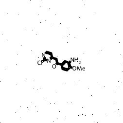 COc1ccc(C(=O)Cc2ccnc(Cl)n2)cc1N